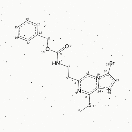 CSc1nc(CCNC(=O)OCc2ccccc2)cn2c(Br)cnc12